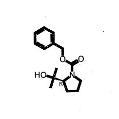 CC(C)(O)[C@@H]1CCCN1C(=O)OCc1ccccc1